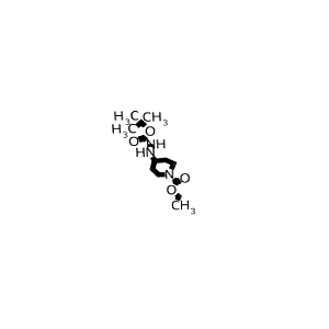 CCOC(=O)N1CCC(NNC(=O)OC(C)(C)C)CC1